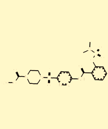 CN(C)S(=O)(=O)Oc1ccccc1C(=O)Nc1ccc(S(=O)(=O)N2CCN(C(=O)OC(C)(C)C)CC2)nn1